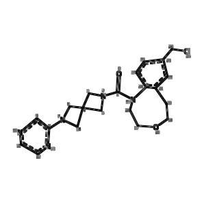 O=C(N1CC2(C1)CN(c1cnccn1)C2)N1CCOCCc2cc(CCl)ccc21